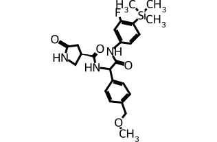 COCc1ccc(C(NC(=O)[C@H]2CNC(=O)C2)C(=O)Nc2ccc([Si](C)(C)C)c(F)c2)cc1